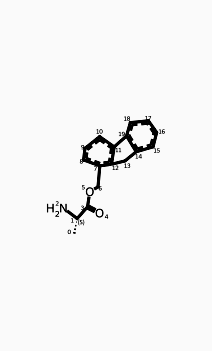 C[C@H](N)C(=O)OCc1cccc2c1Cc1ccccc1-2